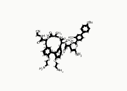 Cc1cc(-c2ccc(C(C)(C)C)cc2)ccc1C(=O)NC(CCN)C(=O)N(C)C1C(=O)NC(C)C(=O)NC(C(=O)NCC#N)Cc2ccc(OCCN)c(c2)-c2cc1ccc2OCCN